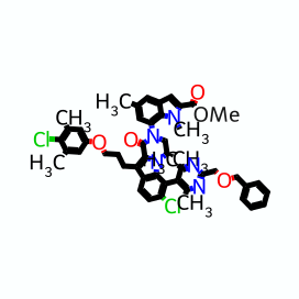 COC(=O)c1cc2cc(C)cc(N3C[C@@H](C)n4c(c(CCCOc5cc(C)c(Cl)c(C)c5)c5ccc(Cl)c(-c6c(C)nc(COCc7ccccc7)nc6C)c54)C3=O)c2n1C